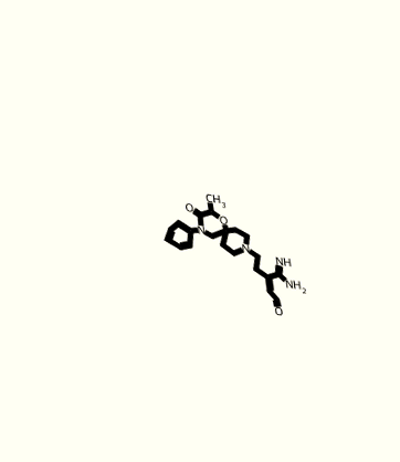 CC1OC2(CCN(CC/C(=C/C=O)C(=N)N)CC2)CN(c2ccccc2)C1=O